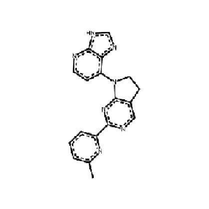 Cc1cccc(-c2ncc3c(n2)N(c2ccnc4[nH]cnc24)CC3)n1